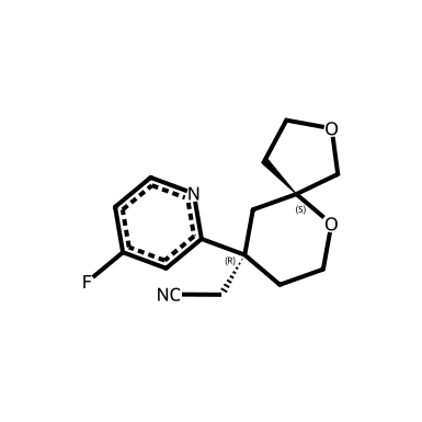 N#CC[C@@]1(c2cc(F)ccn2)CCO[C@]2(CCOC2)C1